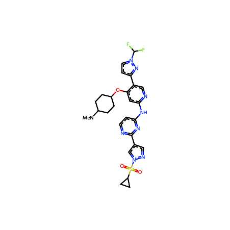 CNC1CCC(Oc2cc(Nc3ccnc(-c4cnn(S(=O)(=O)C5CC5)c4)n3)ncc2-c2ccn(C(F)F)n2)CC1